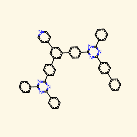 c1ccc(-c2ccc(-c3nc(-c4ccccc4)nc(-c4ccc(-c5cc(-c6ccncc6)cc(-c6ccc(-c7nc(-c8ccccc8)nc(-c8ccccc8)n7)cc6)c5)cc4)n3)cc2)cc1